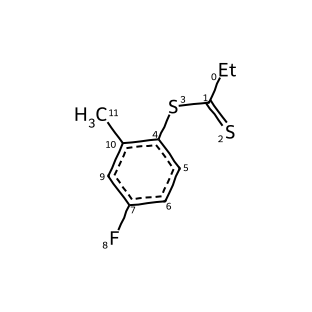 CCC(=S)Sc1ccc(F)cc1C